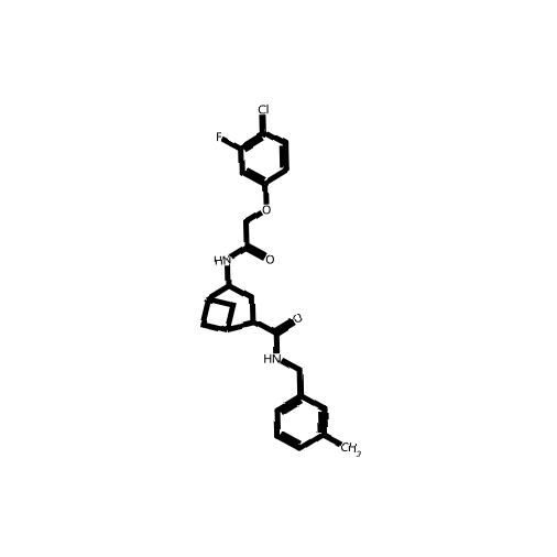 Cc1cccc(CNC(=O)C2CC(NC(=O)COc3ccc(Cl)c(F)c3)C3CC2C3)c1